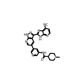 [C-]#[N+]c1ccnc2[nH]c(-c3n[nH]c4ncc(-c5cncc(NC(=O)C6CCN(C)CC6)c5)cc34)nc12